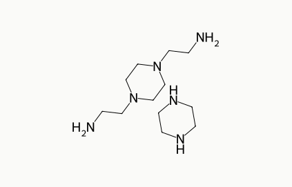 C1CNCCN1.NCCN1CCN(CCN)CC1